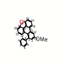 COc1cc(-c2ccccc2)c2c(c1)c1cccc3oc4cccc2c4c31